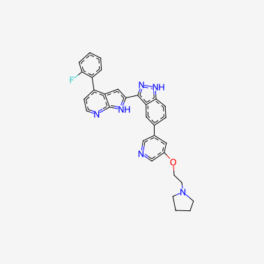 Fc1ccccc1-c1ccnc2[nH]c(-c3n[nH]c4ccc(-c5cncc(OCCN6CCCC6)c5)cc34)cc12